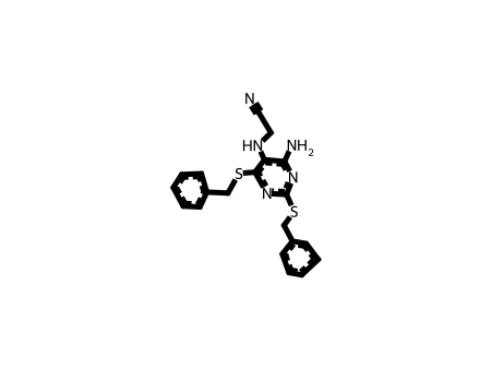 N#CCNc1c(N)nc(SCc2ccccc2)nc1SCc1ccccc1